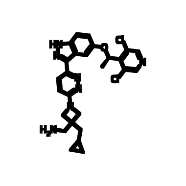 C[C@@H](Oc1ccc2[nH]nc(-c3ccc(N4CC(CN)(CC5CC5)C4)nn3)c2c1)c1c(Cl)cncc1Cl